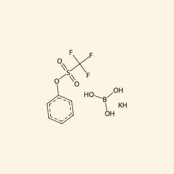 O=S(=O)(Oc1ccccc1)C(F)(F)F.OB(O)O.[KH]